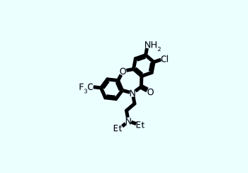 CCN(CC)CCN1C(=O)c2cc(Cl)c(N)cc2Oc2cc(C(F)(F)F)ccc21